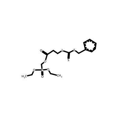 CCOP(=O)(COC(=O)CCSC(=S)SCc1ccccc1)OCC